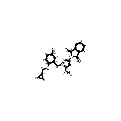 Cc1cc(N2C(=O)c3ccccc3C2=O)nn1Cc1cc(Cl)ccc1OCC1CC1